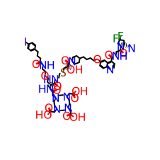 N#C[C@H]1CC(F)(F)CN1C(=O)CNC(=O)c1ccnc2ccc(OCCCCC3CCN(C(=O)[C@H](O)CSCCNC(=O)[C@H](CCOCCNC(=O)CCCc4ccc(I)cc4)NC(=O)CN4CCN(CC(=O)O)CCN(CC(=O)O)CCN(CC(=O)O)CC4)CC3)cc12